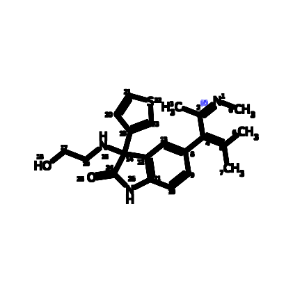 C/N=C(/C)C(=C(C)C)c1ccc2c(c1)C(NCCO)(c1ccsc1)C(=O)N2